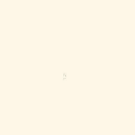 CC12CCCNC1CCC2